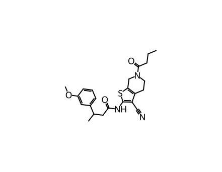 CCCC(=O)N1CCc2c(sc(NC(=O)CC(C)c3cccc(OC)c3)c2C#N)C1